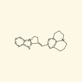 C(=C1CC[n+]2c1sc1ccccc12)c1cc2c3c(c1)CCCN3CCC2